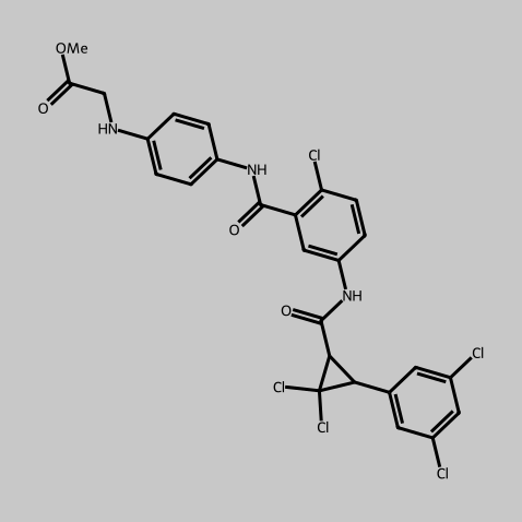 COC(=O)CNc1ccc(NC(=O)c2cc(NC(=O)C3C(c4cc(Cl)cc(Cl)c4)C3(Cl)Cl)ccc2Cl)cc1